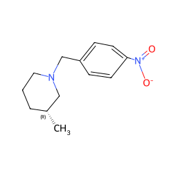 C[C@@H]1CCCN(Cc2ccc([N+](=O)[O-])cc2)C1